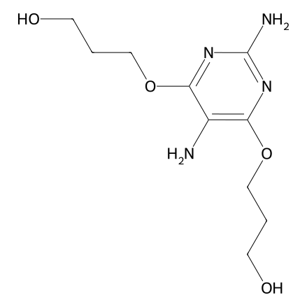 Nc1nc(OCCCO)c(N)c(OCCCO)n1